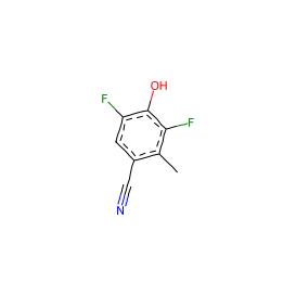 Cc1c(C#N)cc(F)c(O)c1F